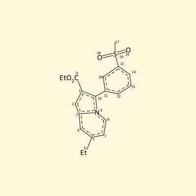 CCOC(=O)c1cc2cc(CC)ccn2c1-c1cccc(S(C)(=O)=O)c1